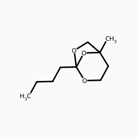 CCCCC12OCCC(C)(CO1)O2